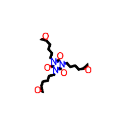 O=c1n(CCCCC2CO2)c(=O)n(CCCCC2CO2)c(=O)n1CCCCC1CO1